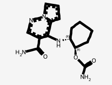 NC(=O)O[C@@H]1CCCC[C@H]1Nc1c(C(N)=O)cnn2cccc12